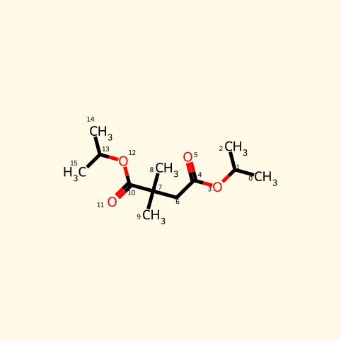 CC(C)OC(=O)CC(C)(C)C(=O)OC(C)C